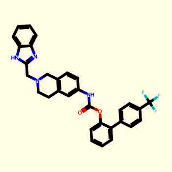 O=C(Nc1ccc2c(c1)CCN(Cc1nc3ccccc3[nH]1)C2)Oc1ccccc1-c1ccc(C(F)(F)F)cc1